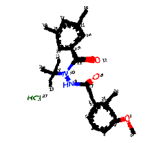 COc1cccc(C(=O)NN(C(=O)c2cc(C)cc(C)c2)C(C)(C)C)c1C.Cl